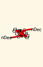 [C-]#[N+]/C(c1cnc2cc(Cl)c(Cl)cc2n1)=c1\c2c(-c3ccc(OCCCCCCCCCCCCCCCCCCCC)cc3)n(B(F)F)/c(=C(/C#N)c3cnc4cc(Cl)c(Cl)cc4n3)c2c(-c2ccc(OCCCCCCCCCCCCCCCCCCCC)cc2)n1B(F)F